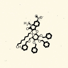 CCCCCCCCOc1c(O[C@H]2O[C@H](COCc3ccccc3)[C@@H](OCc3ccccc3)[C@H](OCc3ccccc3)[C@@H]2OCc2ccccc2)c2ccc([N+](=O)[O-])cc2n(C)c1=O